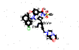 CC/C=C/[C@](C#CCN1CCN2CCOC[C@@H]2C1)(OC)[C@@H]1CC[C@H]1CN1C[C@@]2(CCCc3cc(Cl)ccc32)COc2ccc(C(=O)NS(=O)(=O)C(C)C)cc21